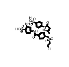 Cc1cc(=O)n(-c2ccc(S(=O)(=O)O)cc2)[nH]1.Nc1cc(NC(=O)c2ccc(CS(=O)(=O)CCCl)cc2)ccc1S(=O)(=O)O